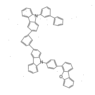 c1ccc(-c2cccc(-n3c4ccccc4c4cc(-c5cccc(-c6ccc7c(c6)c6ccccc6n7-c6ccc(-c7cccc8c7oc7ccccc78)cc6)c5)ccc43)c2)cc1